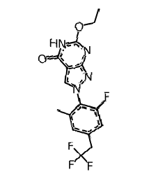 CCOc1nc2nn(-c3c(C)cc(CC(F)(F)F)cc3F)cc2c(=O)[nH]1